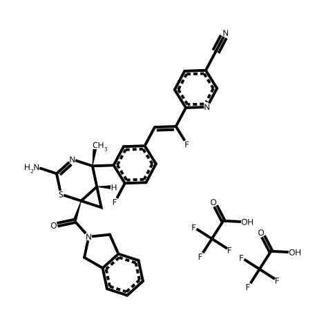 C[C@]1(c2cc(/C=C(\F)c3ccc(C#N)cn3)ccc2F)N=C(N)S[C@@]2(C(=O)N3Cc4ccccc4C3)C[C@H]21.O=C(O)C(F)(F)F.O=C(O)C(F)(F)F